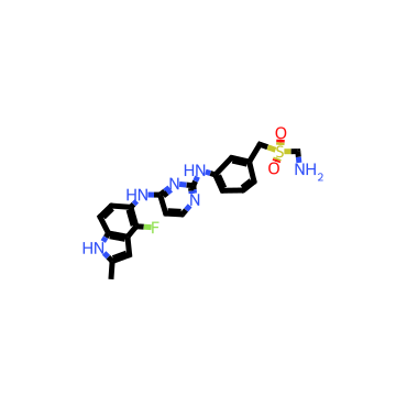 Cc1cc2c(F)c(Nc3ccnc(Nc4cccc(CS(=O)(=O)CN)c4)n3)ccc2[nH]1